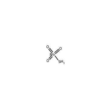 [O]=[Mo](=[O])(=[O])[SiH3]